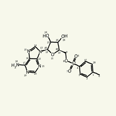 Cc1ccc(S(=O)(=O)OC[C@H]2O[C@@H](n3cnc4c(N)ncnc43)C(O)C2O)cc1